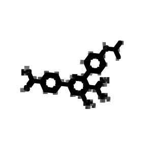 CC(C)Oc1ccc(-c2nc(-c3ccc(C(=O)O)cc3)cc(N)c2C(=N)N)cc1